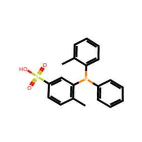 Cc1ccccc1P(c1ccccc1)c1cc(S(=O)(=O)O)ccc1C